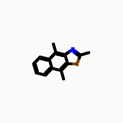 Cc1nc2c(C)c3ccccc3c(C)c2s1